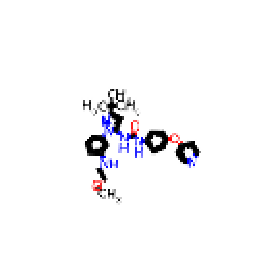 COCCNc1cccc(-n2nc(C(C)(C)C)cc2NC(=O)Nc2ccc(Oc3ccncc3)cc2)c1